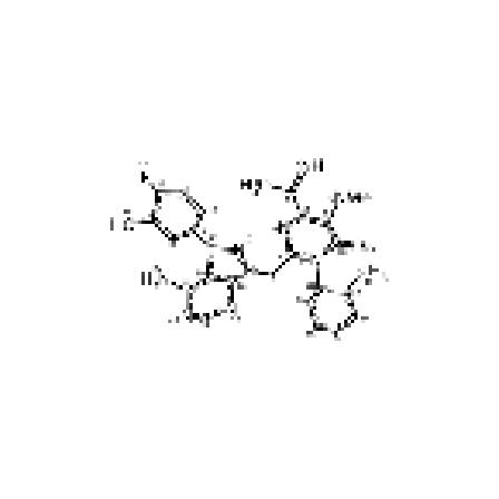 CNc1c(C(C)=N)nc(Cn2nc(-c3ccc(F)c(O)c3)c3c(N)ncnc32)n(-c2ccccc2C)c1=O